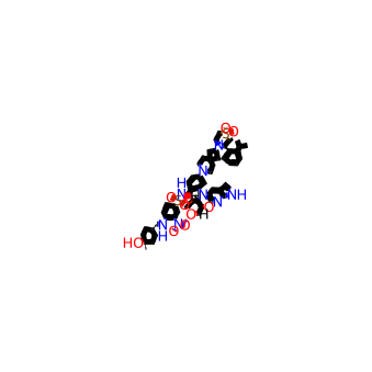 CC(C)c1ccccc1[C@@H]1CS(=O)(=O)CCN1C1CC2(CCN(c3ccc(C(=O)NS(=O)(=O)c4ccc(NC[C@H]5CC[C@](C)(O)CC5)c([N+](=O)[O-])c4)c(N4c5cc6cc[nH]c6nc5O[C@H]5COCC[C@@H]54)c3)CC2)C1